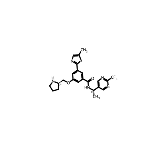 Cc1cnc(-c2cc(OC[C@H]3CCCN3)cc(C(=O)N[C@H](C)c3cnc(C(F)(F)F)nc3)c2)s1